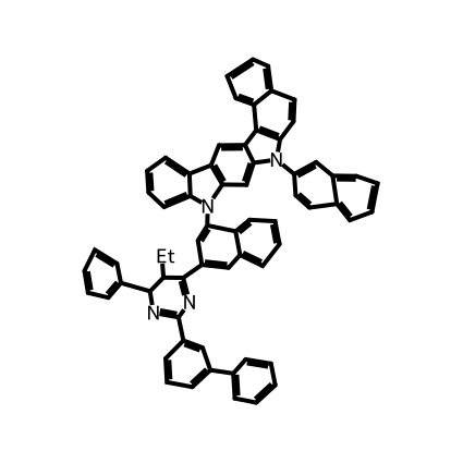 CCC1C(c2cc(-n3c4ccccc4c4cc5c6c7ccccc7ccc6n(-c6ccc7ccccc7c6)c5cc43)c3ccccc3c2)=NC(c2cccc(-c3ccccc3)c2)=NC1c1ccccc1